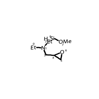 CCN(CC)CC1CO1.CO[SiH3]